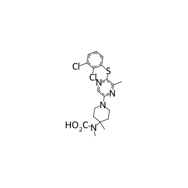 Cc1nc(N2CCC(C)(N(C)C(=O)O)CC2)cnc1Sc1cccc(Cl)c1Cl